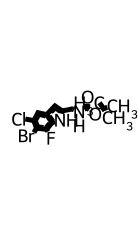 CC(C)(C)OC(=O)NCc1cc2cc(Cl)c(Br)c(F)c2[nH]1